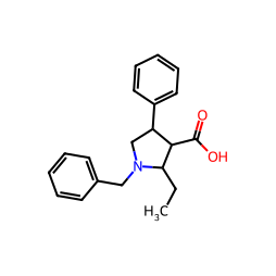 CCC1C(C(=O)O)C(c2ccccc2)CN1Cc1ccccc1